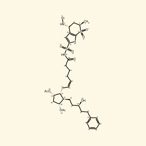 CCN[C@@H]1C[C@@H](C)S(=O)(=O)c2sc(S(=O)(=O)NC(=O)CCC/C=C\C[C@@H]3[C@@H](CC[C@@H](O)CCc4ccccc4)[C@H](OC(C)=O)C[C@@H]3OC(C)=O)cc21